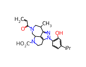 C=CC(=O)N1CC(C)c2nn(-c3ccc(C(C)C)cc3O)c3c2C(C1)N(C(=O)O)CC3